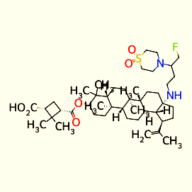 C=C(C)[C@@H]1CC[C@]2(NCCC(CF)N3CCS(=O)(=O)CC3)CC[C@]3(C)[C@H](CC[C@@H]4[C@@]5(C)CC[C@H](OC(=O)[C@H]6C[C@@H](C(=O)O)C6(C)C)C(C)(C)[C@@H]5CC[C@]43C)[C@@H]12